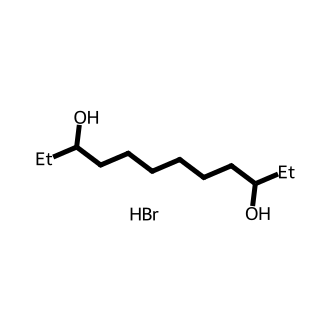 Br.CCC(O)CCCCCCC(O)CC